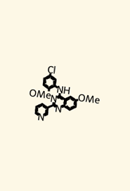 COc1ccc2nc(-c3cccnc3)nc(Nc3cc(Cl)ccc3OC)c2c1